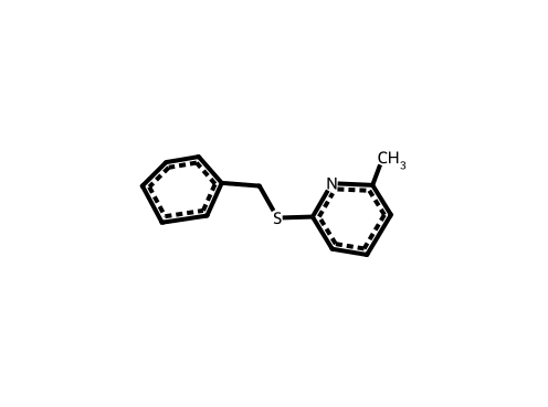 Cc1cccc(SCc2ccccc2)n1